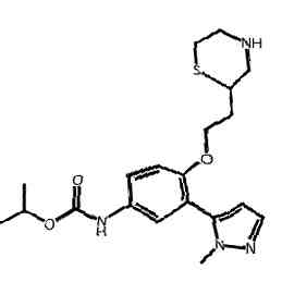 CC(C)OC(=O)Nc1ccc(OCCC2CNCCS2)c(-c2ccnn2C)c1